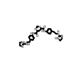 O=C(Nc1ccc(CCNC2=NCCN2)cc1)c1cc(C(=O)Nc2ccc(CCNC3=NCCN3)cc2)ncn1